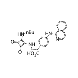 CCCCNc1c(NC(Cc2ccc(Nc3nccc4ccccc34)cc2)C(=O)O)c(=O)c1=O